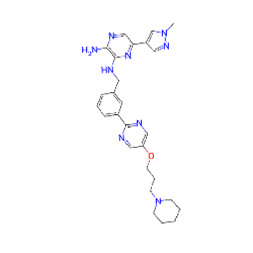 Cn1cc(-c2cnc(N)c(NCc3cccc(-c4ncc(OCCCN5CCCCC5)cn4)c3)n2)cn1